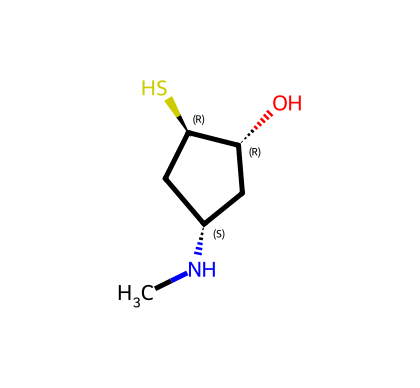 CN[C@H]1C[C@@H](O)[C@H](S)C1